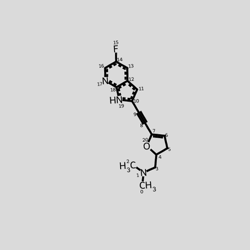 CN(C)CC1CC=C(C#Cc2cc3cc(F)cnc3[nH]2)O1